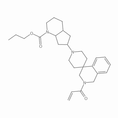 C=CC(=O)N1Cc2ccccc2C2(CCN(C3CC4CCCN(C(=O)OCCC)C4C3)CC2)C1